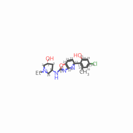 CCN1C[C@H](O)C[C@@H](Nc2nc3nc(-c4c(C)cc(Cl)cc4O)ccc3o2)C1